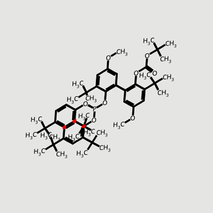 COc1cc(-c2cc(OC)cc(C(C)(C)C)c2OP(Oc2ccc(C(C)(C)C)cc2C(C)(C)C)Oc2ccc(C(C)(C)C)cc2C(C)(C)C)c(OC(=O)OC(C)(C)C)c(C(C)(C)C)c1